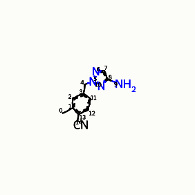 Cc1cc(Cn2ncc(N)n2)ccc1C#N